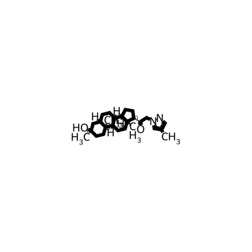 Cc1cnn(CC(=O)[C@H]2CC[C@H]3[C@@H]4CC[C@@H]5C[C@](C)(O)CC[C@]5(C)[C@H]4CC[C@]23C)c1